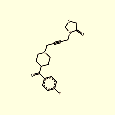 O=C(c1ccc(F)cc1)C1CCN(CC#CCN2CSCC2=O)CC1